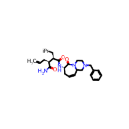 C=CC[C@H](C(N)=O)[C@@H](CC(C)C)C(=O)N[C@H]1CC=CC2CN(Cc3ccccc3)CCN2C1=O